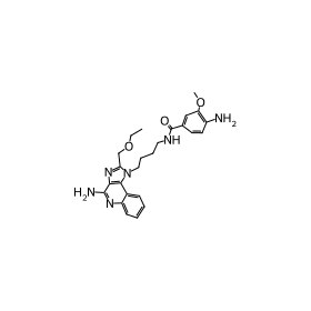 CCOCc1nc2c(N)nc3ccccc3c2n1CCCCNC(=O)c1ccc(N)c(OC)c1